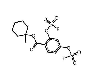 CC1(OC(=O)c2ccc(OS(=O)(=O)F)cc2OS(=O)(=O)F)CCCCC1